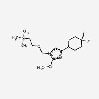 COc1nc(C2CCC(F)(F)CC2)cn1COCC[Si](C)(C)C